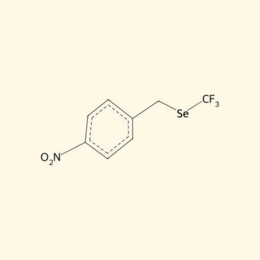 O=[N+]([O-])c1ccc(C[Se]C(F)(F)F)cc1